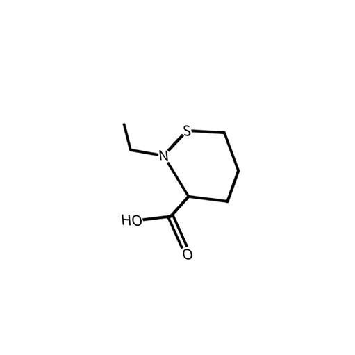 CCN1SCCCC1C(=O)O